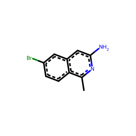 Cc1nc(N)cc2cc(Br)ccc12